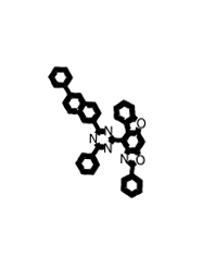 c1ccc(-c2ccc3cc(-c4nc(-c5ccccc5)nc(-c5c6nc(-c7ccccc7)oc6cc6oc7ccccc7c56)n4)ccc3c2)cc1